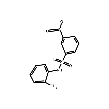 Cc1ccccc1NS(=O)(=O)c1cccc([N+](=O)[O-])c1